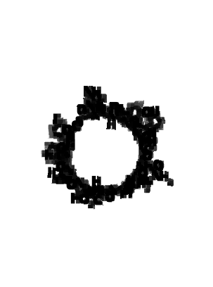 CCCC[C@H]1C(=O)N2CCC[C@@H]2C(=O)N[C@@H](CC(=O)O)C(=O)N[C@@H](C(C)C)C(=O)N(C)[C@@H](C(C)CC)C(=O)N[C@@H](CCC(N)=O)C(=O)N2CCCC[C@@H]2C(=O)N[C@@H](Cc2c[nH]c3ccccc23)C(=O)N[C@@H](Cc2ccc(O)cc2)C(=O)N[C@@H](CC(C)C)C(=O)N[C@H](C(=O)NCC(N)=O)CSCC(=O)N[C@@H](Cc2ccc(F)cc2)C(=O)N(C)[C@@H](Cc2ccccc2)C(=O)N1C